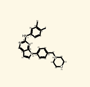 Cc1ccc(Nc2ncc3ccn(-c4ccc(CN5CCOCC5)cc4)c3n2)cc1C